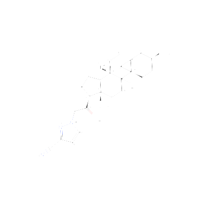 C[C@H]1CC[C@@]23[C@H](C)[C@@]2(CC[C@H]2C4CC[C@H](C(=O)Cn5ccc(C#N)n5)[C@@]4(C)CCC23C)C1